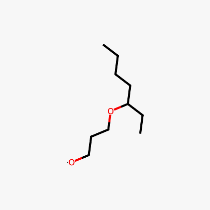 CCCCC(CC)OCCC[O]